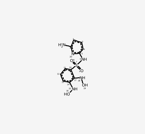 Nc1cccc(NS(=O)(=O)c2cccc(NO)c2NO)n1